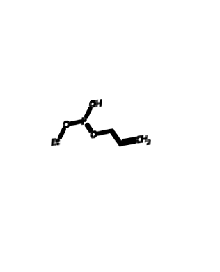 C=CCOP(O)OCC